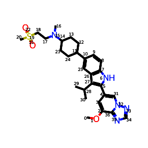 COc1cc(-c2[nH]c3ccc(C4CCC(N(C)CCS(C)(=O)=O)CC4)cc3c2C(C)C)cn2ncnc12